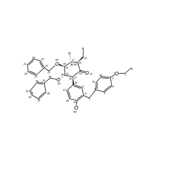 CCOc1ccc(Cc2cc([C@@H]3C(=O)[C@H](CC)[C@@H](C)[C@H](OCc4ccccc4)[C@H]3OCc3ccccc3)ccc2Cl)cc1